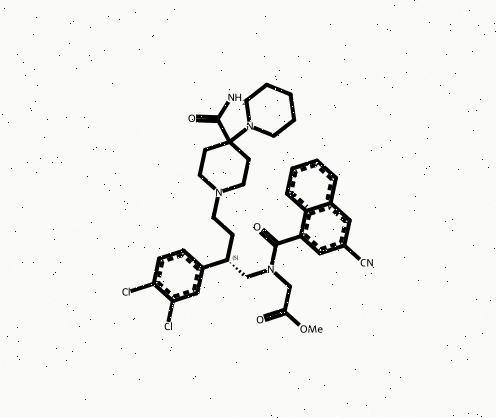 COC(=O)CN(C[C@@H](CCN1CCC(C(N)=O)(N2CCCCC2)CC1)c1ccc(Cl)c(Cl)c1)C(=O)c1cc(C#N)cc2ccccc12